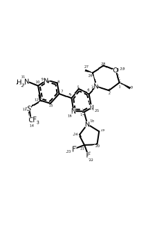 C[C@H]1CN(c2cc(-c3cnc(N)c(SC(F)(F)F)c3)nc(N3CCC(F)(F)C3)n2)[C@@H](C)CO1